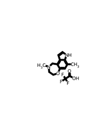 Cc1cc2c(c3cc[nH]c13)CN(C)CCO2.O=C(O)C(F)(F)F